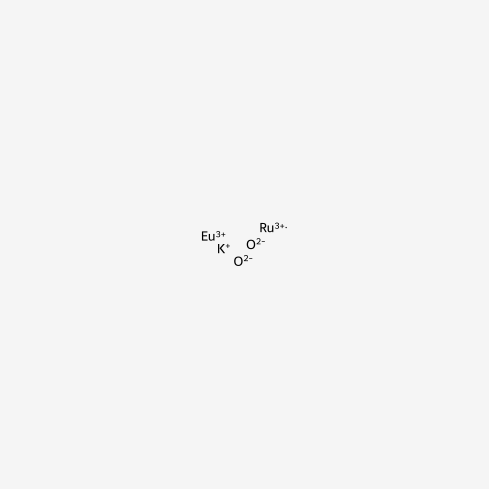 [Eu+3].[K+].[O-2].[O-2].[Ru+3]